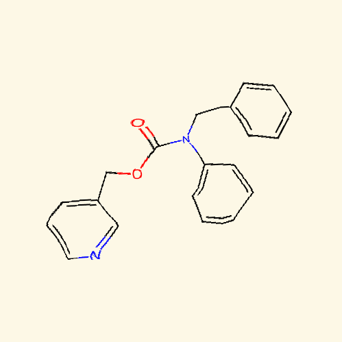 O=C(OCc1cccnc1)N(Cc1ccccc1)c1ccccc1